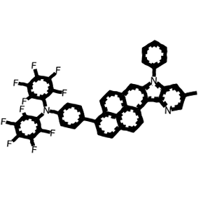 Cc1cnc2c3c4ccc5ccc(-c6ccc(N(c7c(F)c(F)c(F)c(F)c7F)c7c(F)c(F)c(F)c(F)c7F)cc6)c6ccc(cc3n(-c3ccccc3)c2c1)c4c56